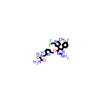 Cc1cc(-c2c(OCc3cccc(CNC(C)C(N)=O)n3)nc(N)nc2-c2ccc(F)cc2)cc(C(F)F)n1